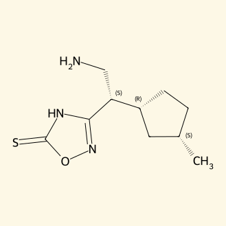 C[C@H]1CC[C@@H]([C@@H](CN)c2noc(=S)[nH]2)C1